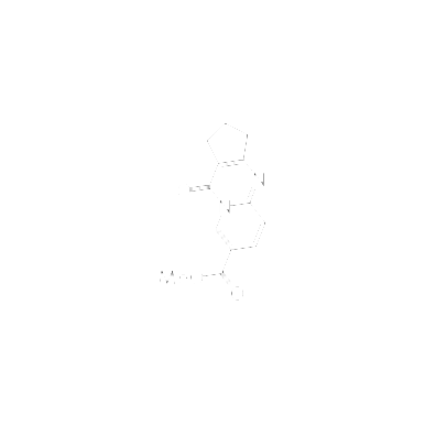 COC(=O)c1ccc2nc3c(c(=O)n2c1)CCC3